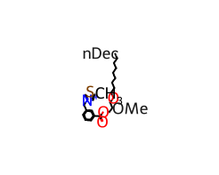 CCCCCCCCCCCCCCCCCCOCC(COC(=O)c1cccc(C[n+]2csc(C)c2)c1)OC